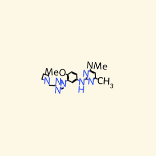 CNc1cc(C)nc(Nc2ccc(OC)c(-n3cnc(CN4CCC4)n3)c2)n1